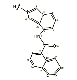 Cc1cn2cccc(NC(=O)c3cccc4ccccc34)c2n1